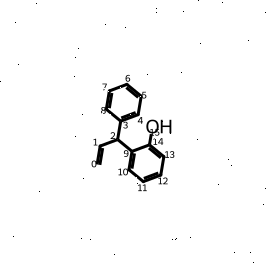 C=CC(c1ccccc1)c1ccccc1O